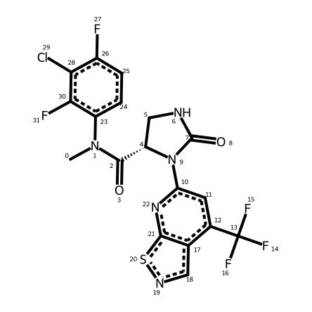 CN(C(=O)[C@@H]1CNC(=O)N1c1cc(C(F)(F)F)c2cnsc2n1)c1ccc(F)c(Cl)c1F